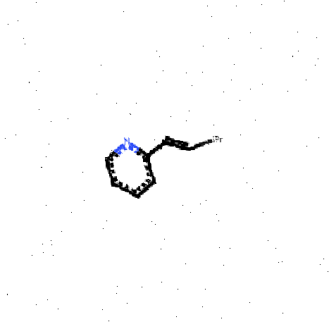 CC(C)C=Cc1ccccn1